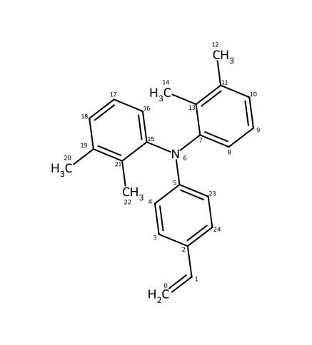 C=Cc1ccc(N(c2cccc(C)c2C)c2cccc(C)c2C)cc1